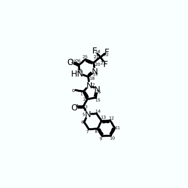 Cc1c(C(=O)N2CCc3ccccc3C2)cnn1-c1nc(C(F)(F)F)cc(=O)[nH]1